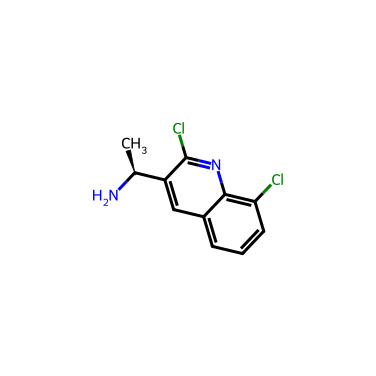 C[C@H](N)c1cc2cccc(Cl)c2nc1Cl